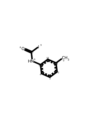 Cc1cccc(NC(=O)I)c1